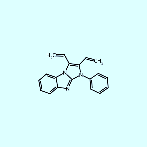 C=Cc1c(C=C)n2c3ccccc3nc2n1-c1ccccc1